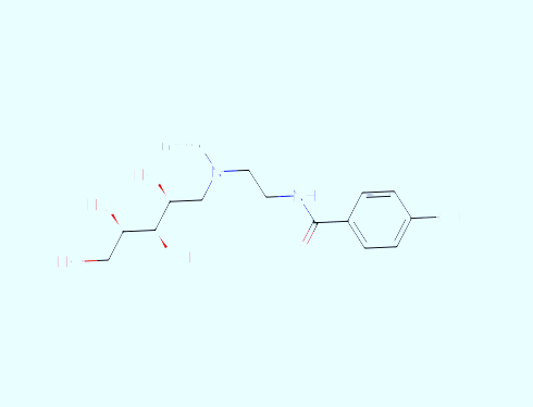 CCCCCCN(CCNC(=O)c1ccc(C=O)cc1)C[C@H](O)[C@@H](O)[C@H](O)CO